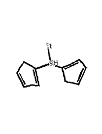 CC[SiH](C1=CC=CC1)C1=CC=CC1